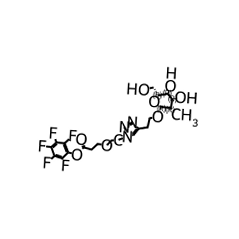 C[C@H]1[C@H](OCCc2cn(CCOCCC(=O)Oc3c(F)c(F)c(F)c(F)c3F)nn2)O[C@H](CO)[C@H](O)[C@@H]1O